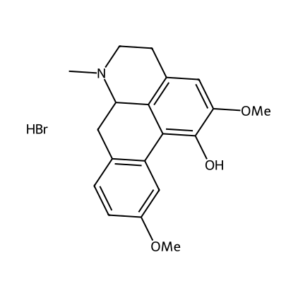 Br.COc1ccc2c(c1)-c1c(O)c(OC)cc3c1C(C2)N(C)CC3